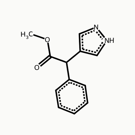 COC(=O)C(c1ccccc1)c1cn[nH]c1